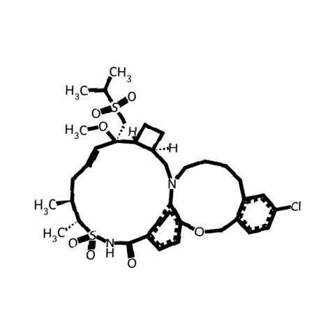 CO[C@]1(CS(=O)(=O)C(C)C)/C=C/C[C@H](C)[C@@H](C)S(=O)(=O)NC(=O)c2ccc3c(c2)N(CCCCc2cc(Cl)ccc2CO3)C[C@@H]2CC[C@H]21